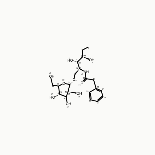 CC[C@@H](O)[C@@H](O)[C@H](CO[C@H]1OC(CO)[C@@H](O)C(O)[C@@H]1O)NC(=O)Cc1ccccc1